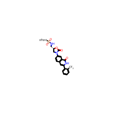 CCCCCS(=O)(=O)NC[C@H]1CN(c2ccc3cc(-c4ccccc4C(F)(F)F)[nH]c(=O)c3c2)C(=O)O1